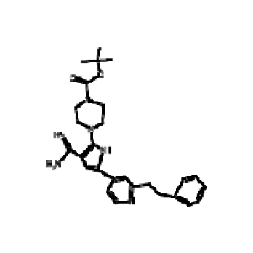 CC(C)(C)OC(=O)N1CCN(c2[nH]c(-c3ccnc(CCc4ccccc4)c3)cc2C(=N)N)CC1